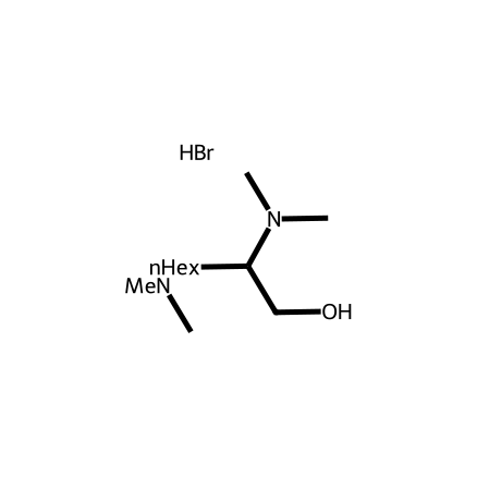 Br.CCCCCCC(CO)N(C)C.CNC